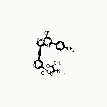 CC(OS(=O)(=O)c1cncc(C#Cc2cnn3c(C(F)(F)F)cc(-c4ccc(C(F)(F)F)cc4)nc23)c1)C(N)=O